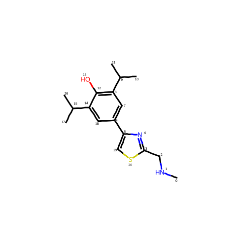 CNCc1nc(-c2cc(C(C)C)c(O)c(C(C)C)c2)cs1